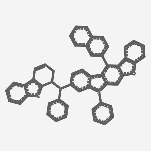 C1=Cc2c(sc3ccccc23)C(N(c2ccccc2)c2ccc3c4c(-c5ccc6ccccc6c5)c5c(cc4n(-c4ccccc4)c3c2)oc2ccccc25)C1